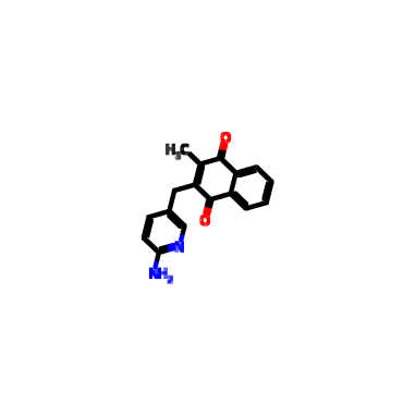 CC1=C(Cc2ccc(N)nc2)C(=O)c2ccccc2C1=O